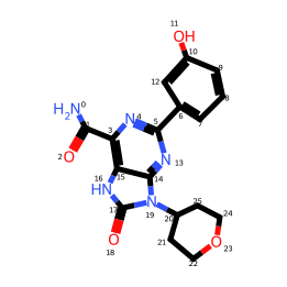 NC(=O)c1nc(-c2cccc(O)c2)nc2c1[nH]c(=O)n2C1CCOCC1